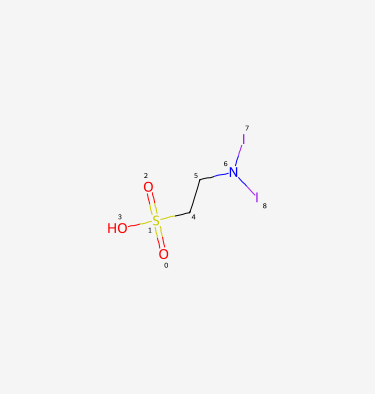 O=S(=O)(O)CCN(I)I